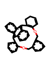 C1=CC2=C(CC1)c1c3ccccc3c(c3ccccc13)-c1ccccc1OCc1ccccc1CO2